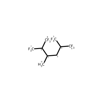 CC(CC(C(F)(F)F)C(F)(F)F)C(C(F)(F)F)C(F)(F)F